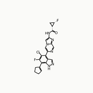 O=C(Nc1cn2cc(-c3c(Cl)c(F)c(C4=CCCC4)c4[nH]ncc34)ncc2n1)[C@@H]1C[C@@H]1F